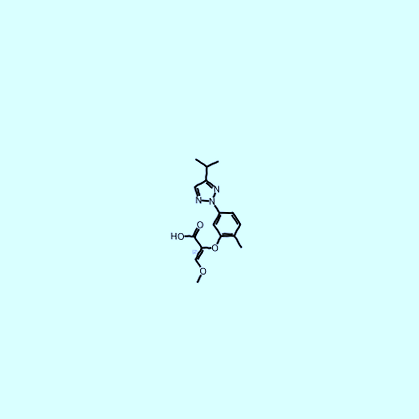 CO/C=C(\Oc1cc(-n2ncc(C(C)C)n2)ccc1C)C(=O)O